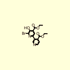 CCOC(=O)c1ccncc1-c1cc(C(=O)OCC)c(O)c(Br)n1